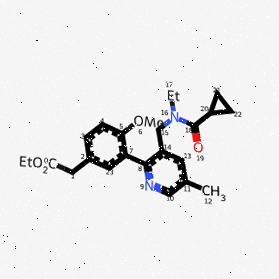 CCOC(=O)Cc1ccc(OC)c(-c2ncc(C)cc2CN(CC)C(=O)C2CC2)c1